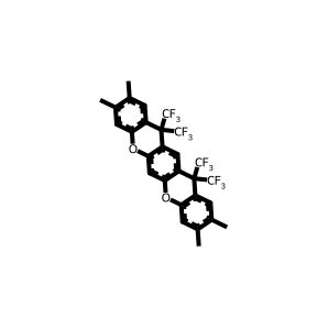 Cc1cc2c(cc1C)C(C(F)(F)F)(C(F)(F)F)c1cc3c(cc1O2)Oc1cc(C)c(C)cc1C3(C(F)(F)F)C(F)(F)F